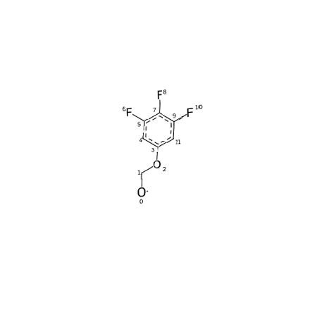 [O]COc1cc(F)c(F)c(F)c1